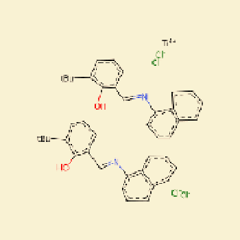 CC(C)(C)c1cccc(C=Nc2cccc3ccccc23)c1O.CC(C)(C)c1cccc(C=Nc2cccc3ccccc23)c1O.[Cl-].[Cl-].[Cl-].[Cl-].[Ti+4]